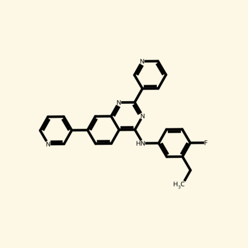 CCc1cc(Nc2nc(-c3cccnc3)nc3cc(-c4cccnc4)ccc23)ccc1F